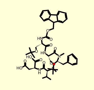 CC(C)[C@@H](C(=O)N[C@@H](CC(=O)O)C(=O)O)N(C)C(=O)[C@H](Cc1ccccc1)N(C)C(=O)[C@H](COC(C)(C)C)NC(=O)[C@H](COC(C)(C)C)NC(=O)OCC1c2ccccc2-c2ccccc21